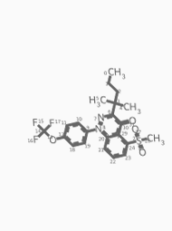 CCCC(C)(C)c1nn(-c2ccc(OC(F)(F)F)cc2)c2cccc(S(C)(=O)=O)c2c1=O